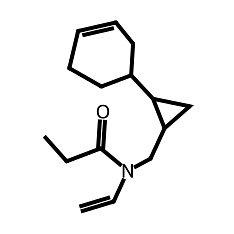 C=CN(CC1CC1C1CC=CCC1)C(=O)CC